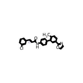 Cc1ccc(-c2ncco2)cc1-c1ccc(NC(=O)/C=C/c2cccc(Cl)c2)cc1